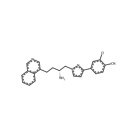 N#Cc1ccc(-c2ccn(C[C@H](N)CCc3cncc4ccccc34)n2)cc1Cl